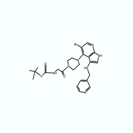 CC(C)(C)OC(=O)NCC(=O)N1CCN(c2c(Br)cnc3[nH]cc(NCc4cccnc4)c23)CC1